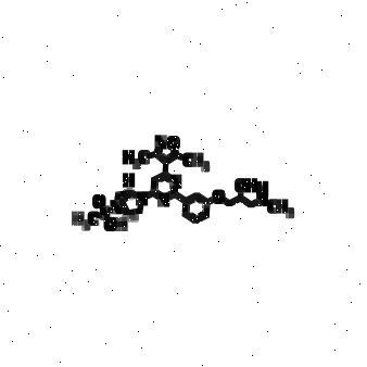 CNCC(O)COc1cccc(-c2nc(-c3c(C)noc3C)cc(N3C[C@@H]4C[C@H]3CN4S(C)(=O)=O)n2)c1